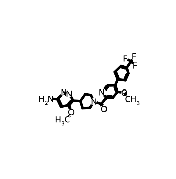 COc1cc(C(=O)N2CCC(c3nnc(N)cc3OC)CC2)ncc1-c1ccc(C(F)(F)F)cc1